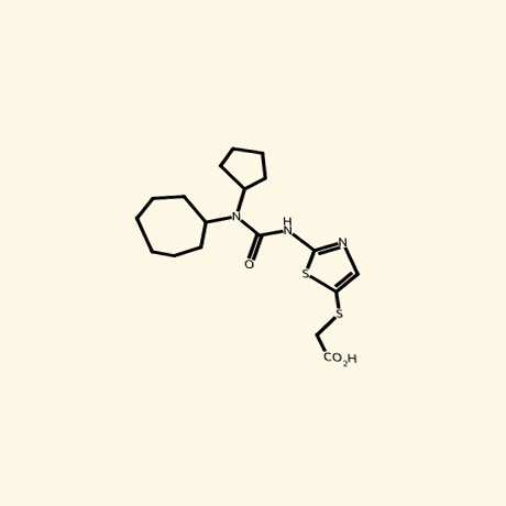 O=C(O)CSc1cnc(NC(=O)N(C2CCCCCC2)C2CCCC2)s1